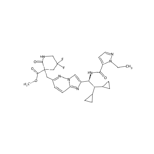 CCn1nccc1C(=O)N[C@H](c1cn2nc(CC3(C(=O)OC)CC(F)(F)CNC3=O)ccc2n1)C(C1CC1)C1CC1